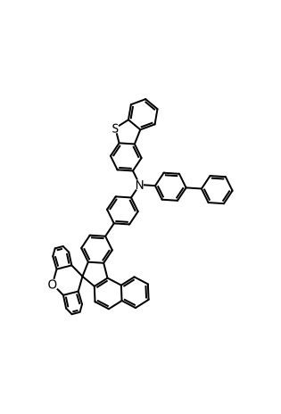 c1ccc(-c2ccc(N(c3ccc(-c4ccc5c(c4)-c4c(ccc6ccccc46)C54c5ccccc5Oc5ccccc54)cc3)c3ccc4sc5ccccc5c4c3)cc2)cc1